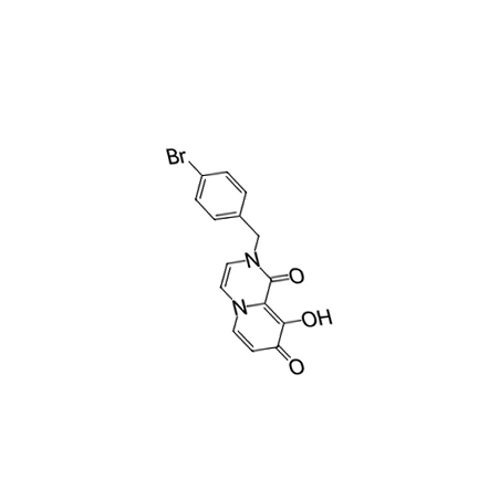 O=c1ccn2ccn(Cc3ccc(Br)cc3)c(=O)c2c1O